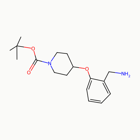 CC(C)(C)OC(=O)N1CCC(Oc2ccccc2CN)CC1